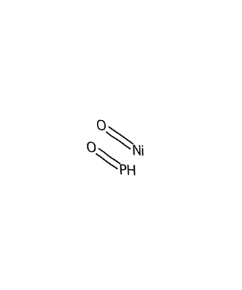 O=P.[O]=[Ni]